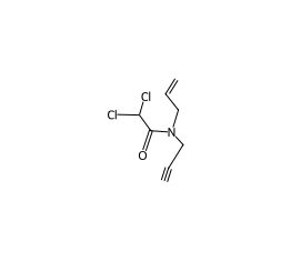 C#CCN(CC=C)C(=O)C(Cl)Cl